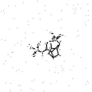 O=C(NS(=O)(=O)C(F)(F)F)C1C2CC3OS(=O)(=O)C1C3C2